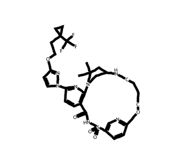 CC1(C)CC2CN1c1nc(-n3ccc(OCCC4(C(F)(F)F)CC4)n3)ccc1C(=O)NS(=O)(=O)c1ccc(nc1)OCCCCN2